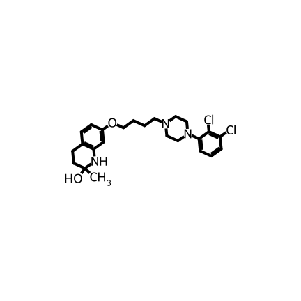 CC1(O)CCc2ccc(OCCCCN3CCN(c4cccc(Cl)c4Cl)CC3)cc2N1